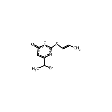 C/C=C/Sc1nc(C(C)Br)cc(=O)[nH]1